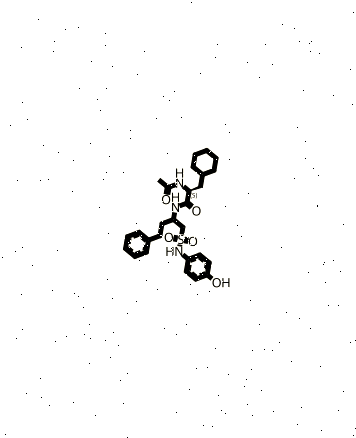 CC(=O)N[C@@H](CC1CCCCC1)C(=O)NC(CCc1ccccc1)CS(=O)(=O)Nc1ccc(O)cc1